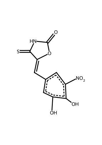 O=C1NC(=S)C(=Cc2cc(O)c(O)c([N+](=O)[O-])c2)O1